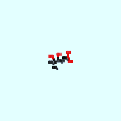 C.C.O=C(O)O.O=C(O)O.OO